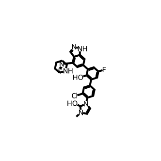 CN1C=CN(c2ccc(-c3cc(F)cc(-c4cc(N5CC6CCC5CN6)c5cn[nH]c5c4)c3O)cc2Cl)C1O